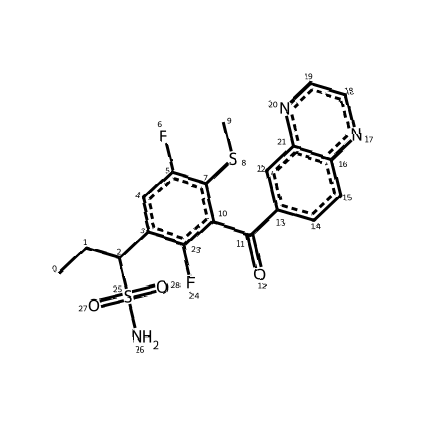 CCC(c1cc(F)c(SC)c(C(=O)c2ccc3nccnc3c2)c1F)S(N)(=O)=O